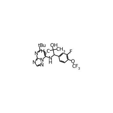 CC(C)(C)c1cc(NC(c2ccc(OC(F)(F)F)c(F)c2)C(C)(C)O)n2ncnc2n1